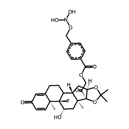 CC1(C)O[C@@H]2C[C@H]3C4CCC5=CC(=O)C=C[C@]5(C)[C@@]4(F)[C@@H](O)C[C@]3(C)[C@]2(C(=O)COC(=O)c2ccc(CON(O)O)cc2)O1